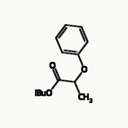 CC(C)COC(=O)C(C)Oc1ccccc1